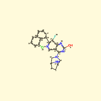 Oc1nc(N2CC3CCC(C2)N3)c2cnc(-c3cccc4cccc(Cl)c34)c(F)c2n1